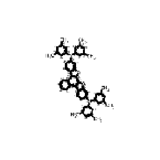 CC1=CC(N(c2cc(C)cc(C)c2)c2ccc3c(c2)oc2c4oc5cc(N(c6cc(C)cc(C)c6)c6cc(C)cc(C)c6)ccc5c4c4ccccc4c32)CC(C)=C1